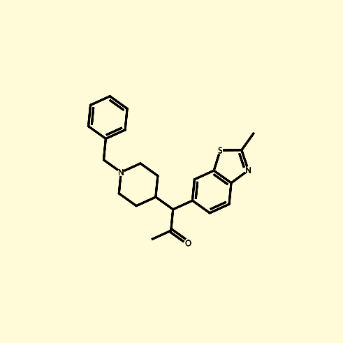 CC(=O)C(c1ccc2nc(C)sc2c1)C1CCN(Cc2ccccc2)CC1